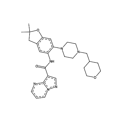 CC1(C)Cc2cc(NC(=O)c3cnn4cccnc34)c(N3CCN(CC4CCOCC4)CC3)cc2O1